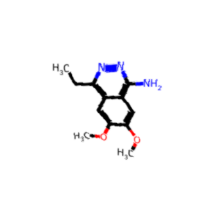 CCc1nnc(N)c2cc(OC)c(OC)cc12